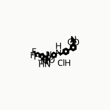 CNc1nc(N(C)[C@H]2C[C@@H](NCc3ccc(-c4cccc(S(=O)(=O)N(C)C)c4)cc3)C[C@H]2O)c2cc(CC(F)(F)F)sc2n1.Cl